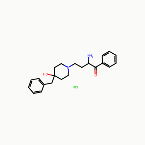 Cl.NC(CCN1CCC(O)(Cc2ccccc2)CC1)C(=O)c1ccccc1